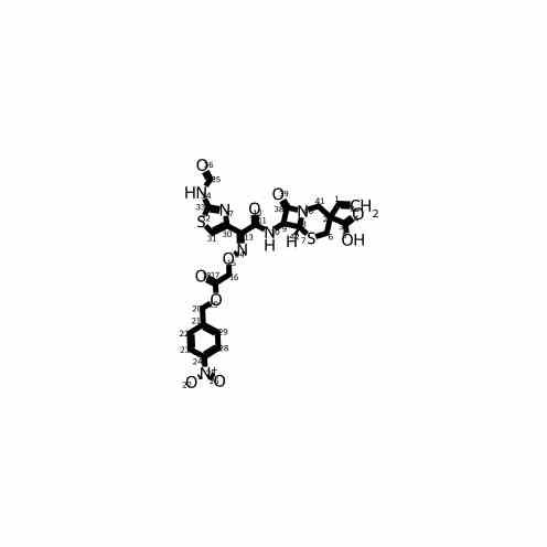 C=CC1(C(=O)O)CS[C@@H]2C(NC(=O)C(=NOCC(=O)OCc3ccc([N+](=O)[O-])cc3)c3csc(NC=O)n3)C(=O)N2C1